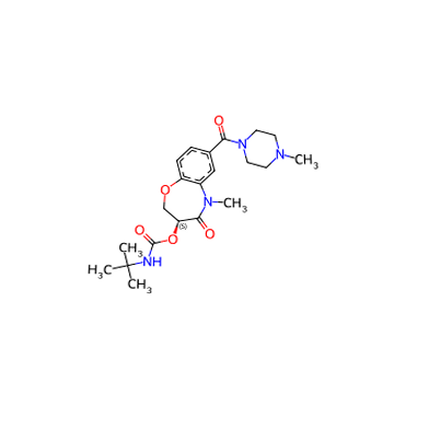 CN1CCN(C(=O)c2ccc3c(c2)N(C)C(=O)[C@@H](OC(=O)NC(C)(C)C)CO3)CC1